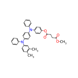 COC(=O)CCC(=O)Oc1ccc(N(c2ccccc2)c2ccc(N(c3ccccc3)c3ccc(C)c(C)c3)cc2)cc1